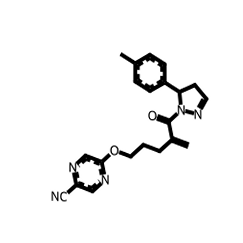 C=C(CCCOc1cnc(C#N)cn1)C(=O)N1N=CCC1c1ccc(C)cc1